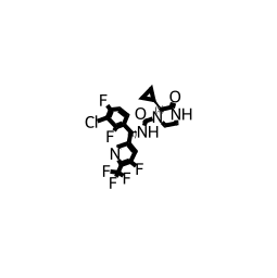 O=C1NCCN(C(=O)N[C@H](c2cnc(C(F)(F)F)c(F)c2)c2ccc(F)c(Cl)c2F)[C@H]1C1CC1